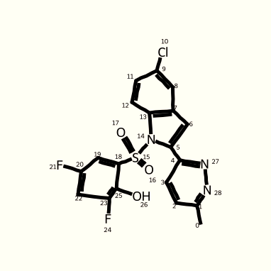 Cc1ccc(-c2cc3cc(Cl)ccc3n2S(=O)(=O)c2cc(F)cc(F)c2O)nn1